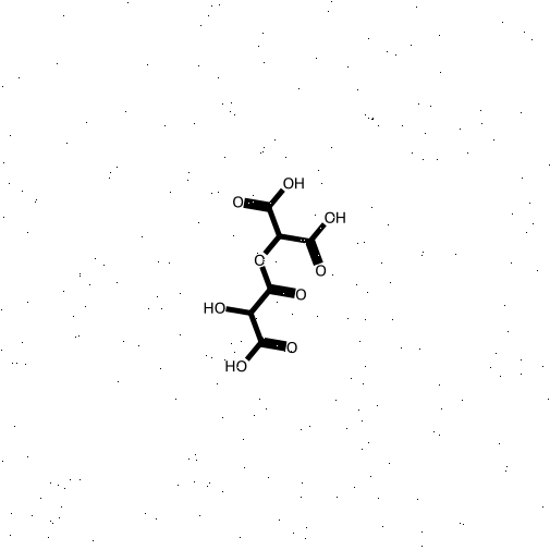 O=C(O)C(O)C(=O)OC(C(=O)O)C(=O)O